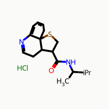 CC(C)C(C)NC(=O)C1CSC23CC=CC=C2N=CCC13.Cl